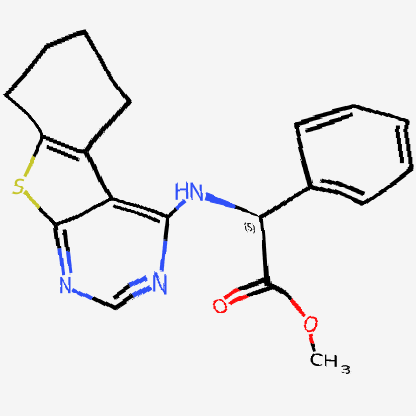 COC(=O)[C@@H](Nc1ncnc2sc3c(c12)CCCC3)c1ccccc1